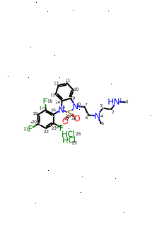 CNCCN(C)CCN1c2ccccc2N(c2c(F)cc(F)cc2F)S1(=O)=O.Cl.Cl